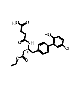 CCOC(=O)C[C@@H](Cc1ccc(-c2cc(Cl)ccc2O)cc1)NC(=O)CCC(=O)O